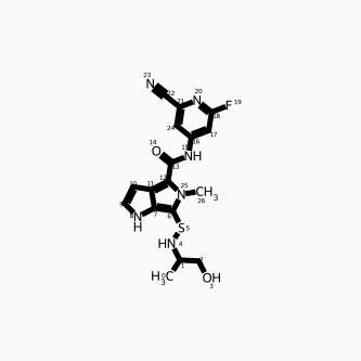 CC(CO)NSc1c2[nH]ccc2c(C(=O)Nc2cc(F)nc(C#N)c2)n1C